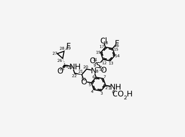 O=C(O)Nc1ccc2c(c1)N(S(=O)(=O)c1ccc(F)c(Cl)c1)C[C@H](CNC(=O)[C@@H]1C[C@@H]1F)O2